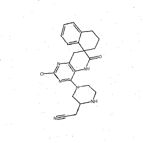 N#CCC1CN(c2nc(Cl)nc3c2NC(=O)C2(CCCc4ccccc42)C3)CCN1